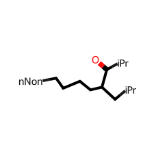 CCCCCCCCCCCCCC(CC(C)C)C(=O)C(C)C